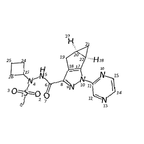 CS(=O)(=O)N(NC(=O)c1nn(-c2cnccn2)c2c1C[C@H]1C[C@@H]21)C1CCC1